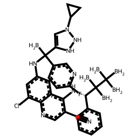 BC(Nc1cc(Cl)c2ncc(C#N)c(N[C@@H](c3ccccc3)C(B)(B)C(B)(B)B)c2c1)(C1=CN(C2CC2)NN1)c1ccc(F)nc1